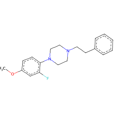 COc1ccc(N2CCN(CCc3ccccc3)CC2)c(F)c1